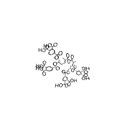 CC(=CCC(COC(=O)c1ccc(C(=O)O)c(C(=O)O)c1)OC(=O)c1ccc(C(=O)O)c(C(=O)O)c1)C(=O)OC(=O)C(C)=CCC(COC(=O)c1ccc(C(=O)O)c(C(=O)O)c1)OC(=O)c1ccc(C(=O)O)c(C(=O)O)c1